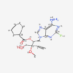 C#CC(CO)(OC)[C@H](Cn1cnc2c(N)nc(F)nc21)OC(=O)C1CCCCC1